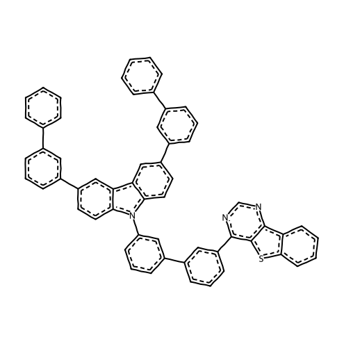 c1ccc(-c2cccc(-c3ccc4c(c3)c3cc(-c5cccc(-c6ccccc6)c5)ccc3n4-c3cccc(-c4cccc(-c5ncnc6c5sc5ccccc56)c4)c3)c2)cc1